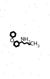 C=CCC[C@H](N)c1cccc(Oc2ccccc2)c1